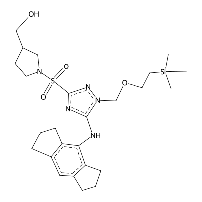 C[Si](C)(C)CCOCn1nc(S(=O)(=O)N2CCC(CO)C2)nc1Nc1c2c(cc3c1CCC3)CCC2